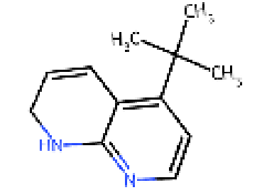 CC(C)(C)c1ccnc2c1C=CCN2